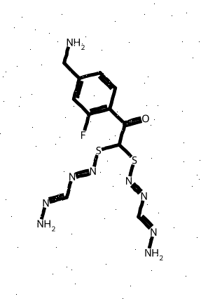 NCc1ccc(C(=O)C(SN=NC=NN)SN=NC=NN)c(F)c1